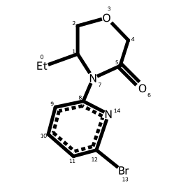 CCC1COCC(=O)N1c1cccc(Br)n1